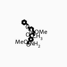 COC(=O)c1cc(C(=O)c2c(C)c(OC)c3ccc(OCc4ccccc4)cn23)ccc1N